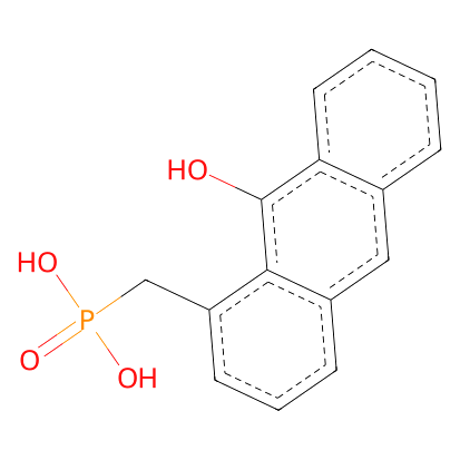 O=P(O)(O)Cc1cccc2cc3ccccc3c(O)c12